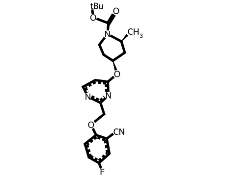 C[C@H]1C[C@@H](Oc2ccnc(COc3ccc(F)cc3C#N)n2)CCN1C(=O)OC(C)(C)C